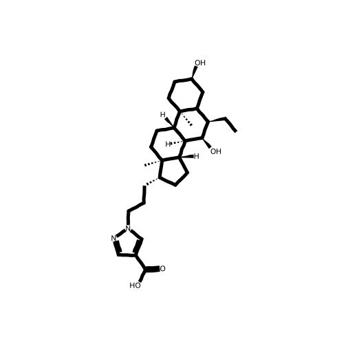 CC[C@@H]1C2C[C@H](O)CC[C@]2(C)[C@H]2CC[C@]3(C)[C@@H](CCCn4cc(C(=O)O)cn4)CC[C@H]3[C@@H]2[C@@H]1O